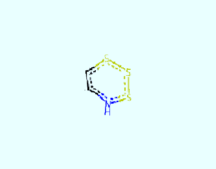 [c]1csss[nH]1